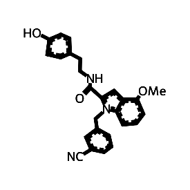 COc1cccc2c1cc(C(=O)NCCc1ccc(O)cc1)n2Cc1cccc(C#N)c1